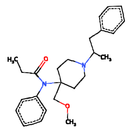 CCC(=O)N(c1ccccc1)C1(COC)CCN(C(C)Cc2ccccc2)CC1